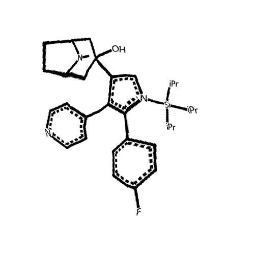 CC(C)[Si](C(C)C)(C(C)C)n1cc(C2(O)CC3CCC(C2)N3C)c(-c2ccncc2)c1-c1ccc(F)cc1